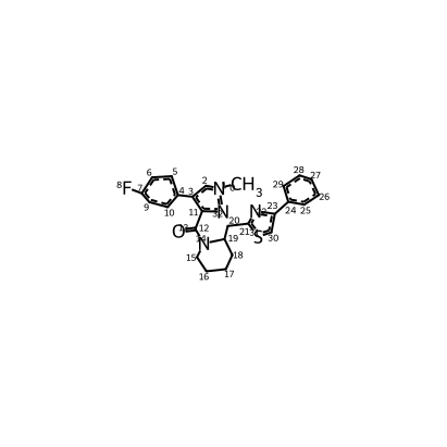 Cn1cc(-c2ccc(F)cc2)c(C(=O)N2CCCCC2Cc2nc(-c3ccccc3)cs2)n1